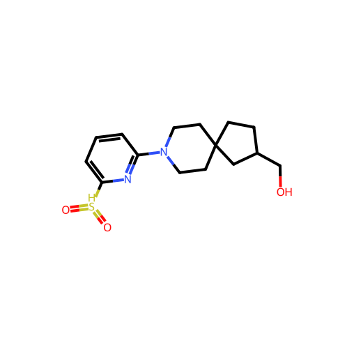 O=[SH](=O)c1cccc(N2CCC3(CCC(CO)C3)CC2)n1